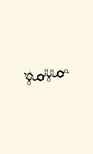 COc1ccc(CNC(=O)Nc2ccc(CN3C[C@@H](C)N(C)CC3=O)cc2)cc1